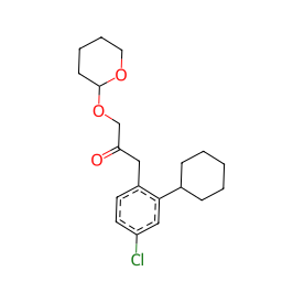 O=C(COC1CCCCO1)Cc1ccc(Cl)cc1C1CCCCC1